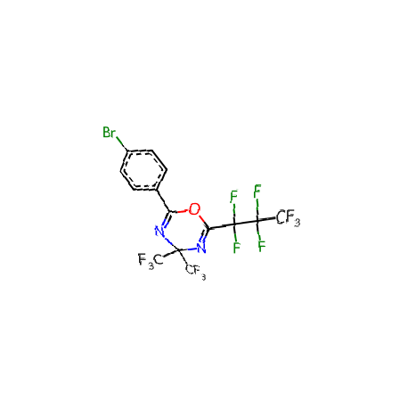 FC(F)(F)C(F)(F)C(F)(F)C1=NC(C(F)(F)F)(C(F)(F)F)N=C(c2ccc(Br)cc2)O1